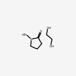 CCCCN1CCCC1=O.OCCO